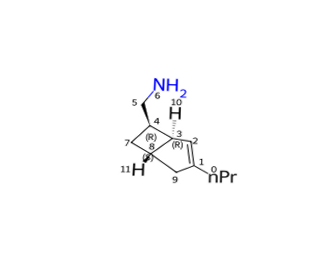 CCCC1=C[C@@H]2[C@H](CN)C[C@H]2C1